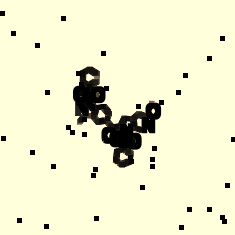 COc1cc2cc(C(O)c3ccc4c(c3)c(C)nn4S(=O)(=O)c3ccccc3)n(S(=O)(=O)c3ccccc3)c2cn1